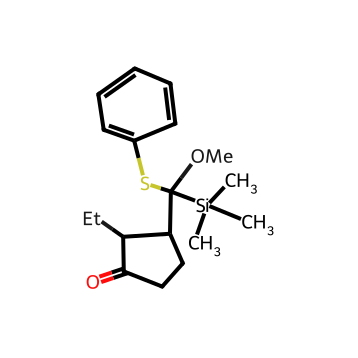 CCC1C(=O)CCC1C(OC)(Sc1ccccc1)[Si](C)(C)C